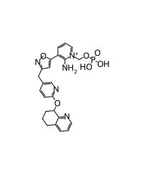 Nc1c(-c2cc(Cc3ccc(OC4CCCc5cccnc54)nc3)no2)ccc[n+]1COP(=O)(O)O